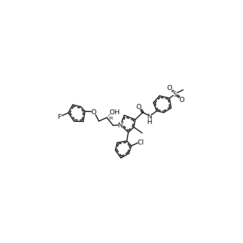 Cc1c(C(=O)Nc2ccc(S(C)(=O)=O)cc2)cn(C[C@@H](O)COc2ccc(F)cc2)c1-c1ccccc1Cl